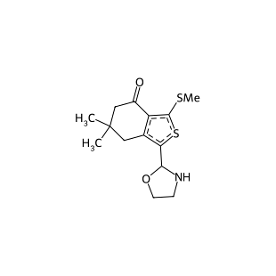 CSc1sc(C2NCCO2)c2c1C(=O)CC(C)(C)C2